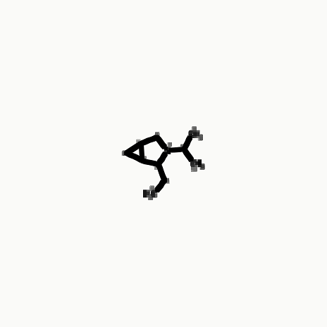 CCC1C2CC2CN1C(C)C